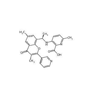 Cc1cc([C@@H](C)Nc2ccc(C)nc2C(=O)O)c2oc(-c3cccnc3)c(C)c(=O)c2c1